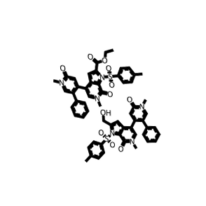 CCOC(=O)c1cc2c(-c3cc(=O)n(C)cc3-c3ccccc3)cn(C)c(=O)c2n1S(=O)(=O)c1ccc(C)cc1.Cc1ccc(S(=O)(=O)n2c(CO)cc3c(-c4cc(=O)n(C)cc4-c4ccccc4)cn(C)c(=O)c32)cc1